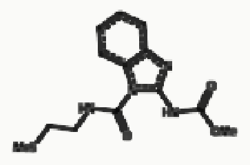 COC(=O)Nc1nc2ccccc2n1C(=O)NCCSC